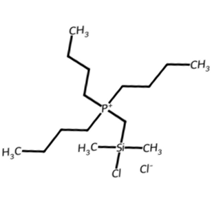 CCCC[P+](CCCC)(CCCC)C[Si](C)(C)Cl.[Cl-]